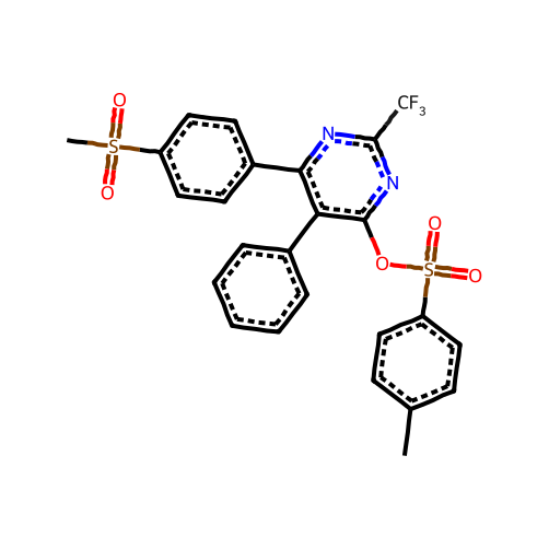 Cc1ccc(S(=O)(=O)Oc2nc(C(F)(F)F)nc(-c3ccc(S(C)(=O)=O)cc3)c2-c2ccccc2)cc1